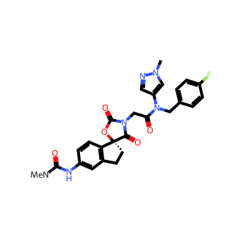 CNC(=O)Nc1ccc2c(c1)CC[C@@]21OC(=O)N(CC(=O)N(Cc2ccc(F)cc2)c2cnn(C)c2)C1=O